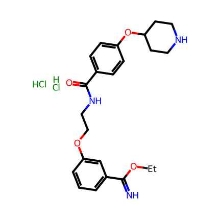 CCOC(=N)c1cccc(OCCNC(=O)c2ccc(OC3CCNCC3)cc2)c1.Cl.Cl